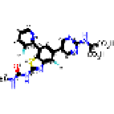 CCNC(=O)Nc1nc2c(F)c(-c3cnc(NC(C(=O)O)C(=O)O)nc3)cc(-c3ncccc3F)c2s1